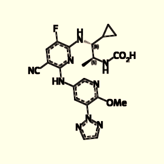 COc1ncc(Nc2nc(N[C@H](C3CC3)[C@H](C)NC(=O)O)c(F)cc2C#N)cc1-n1nccn1